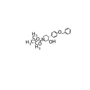 CC(C)(C)OC(=O)N1CC[C@H](c2ccc(OCc3ccccc3)cc2)[C@@H](O)C1